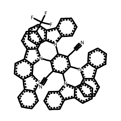 N#Cc1c(-n2c3ccccc3c3ccccc32)c(-n2c3ccccc3c3ccccc32)c(C#N)c(-n2c3cc(C(F)(F)F)ccc3c3ccc4c5ccccc5sc4c32)c1-n1c2ccccc2c2ccccc21